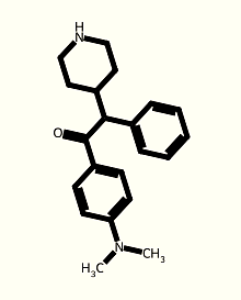 CN(C)c1ccc(C(=O)C(c2ccccc2)C2CCNCC2)cc1